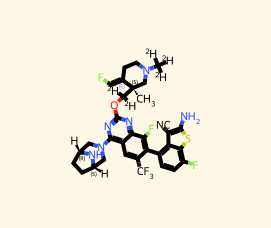 [2H]C([2H])([2H])N1CC/C(=C\F)[C@](C)(C([2H])([2H])Oc2nc(N3C[C@H]4CC[C@@H](C3)N4)c3cc(C(F)(F)F)c(-c4ccc(F)c5sc(N)c(C#N)c45)c(F)c3n2)C1